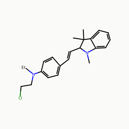 CCN(CCCl)c1ccc(/C=C/C2N(C)c3ccccc3C2(C)C)cc1